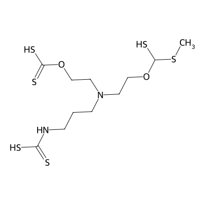 CSC(S)OCCN(CCCNC(=S)S)CCOC(=S)S